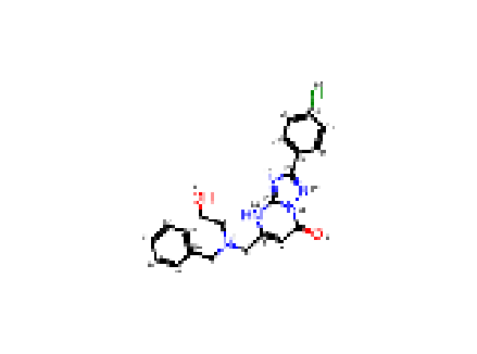 O=c1cc(CN(CCO)Cc2ccccc2)[nH]c2nc(-c3ccc(Cl)cc3)nn12